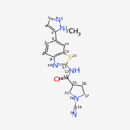 Cn1nccc1-c1ccc2nc(NC(=O)C3CCN(C#N)C3)sc2c1